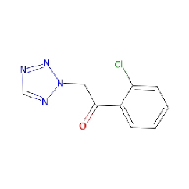 O=C(Cn1ncnn1)c1ccccc1Cl